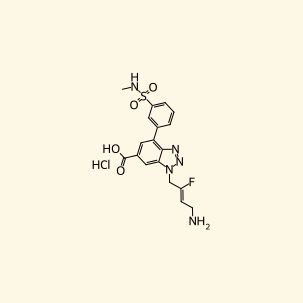 CNS(=O)(=O)c1cccc(-c2cc(C(=O)O)cc3c2nnn3C/C(F)=C/CN)c1.Cl